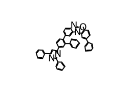 c1ccc(-c2ccc3oc4nc5ccc(-c6ccc(-c7cc(-c8ccccc8)nc(-c8ccccc8)n7)cc6-c6ccccc6)cc5n4c3c2)cc1